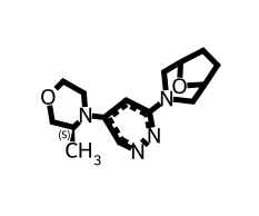 C[C@H]1COCCN1c1cnnc(N2CC3CCC(C2)O3)c1